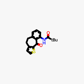 CC(C)(C)C(=O)Nc1cccc2c1C(=O)c1sccc1CC2